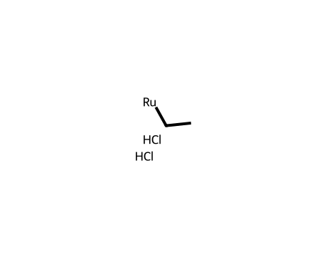 C[CH2][Ru].Cl.Cl